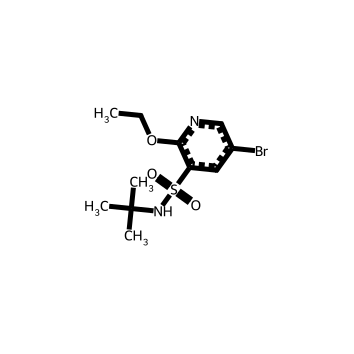 CCOc1ncc(Br)cc1S(=O)(=O)NC(C)(C)C